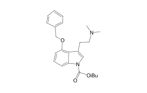 CC(C)COC(=O)n1cc(CCN(C)C)c2c(OCc3ccccc3)cccc21